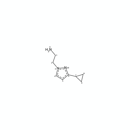 NCCn1ccc(C2CC2)n1